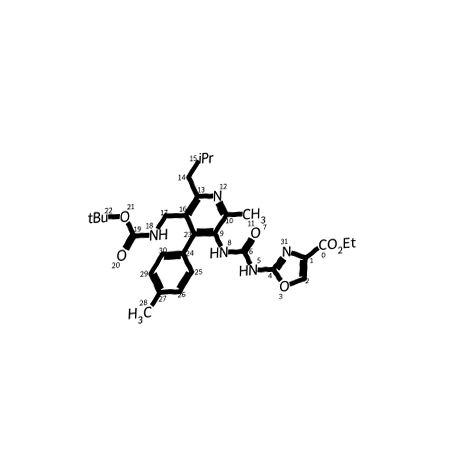 CCOC(=O)c1coc(NC(=O)Nc2c(C)nc(CC(C)C)c(CNC(=O)OC(C)(C)C)c2-c2ccc(C)cc2)n1